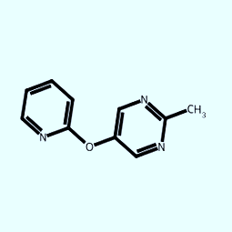 Cc1ncc(Oc2ccccn2)cn1